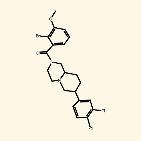 COc1cccc(C(=O)N2CCN3CC(c4ccc(Cl)c(Cl)c4)CCC3C2)c1Br